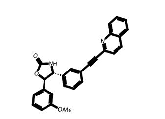 COc1cccc([C@H]2OC(=O)N[C@@H]2c2cccc(C#Cc3ccc4ccccc4n3)c2)c1